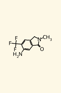 CN1Cc2cc(C(F)(F)F)c(N)cc2C1=O